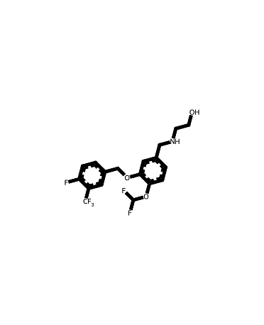 OCCNCc1ccc(OC(F)F)c(OCc2ccc(F)c(C(F)(F)F)c2)c1